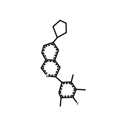 Cc1cc(-c2cc3cc(C4CCCC4)ccc3cn2)c(C)c(C)c1F